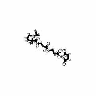 [2H]C1(C(=O)NCCC(=O)NCCC(=O)ON2C(=O)CCC2=O)CCCN1C(C)C